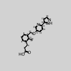 O=C(O)CCc1cccc(COc2ccc(-c3ccn[nH]3)nc2)c1F